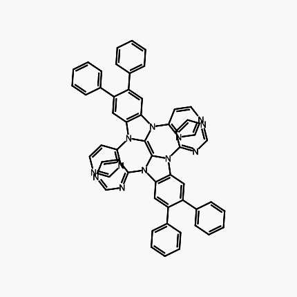 c1ccc(-c2cc3c(cc2-c2ccccc2)N(c2ccncn2)C(=C2N(c4ccncn4)c4cc(-c5ccccc5)c(-c5ccccc5)cc4N2c2ccncn2)N3c2ccncn2)cc1